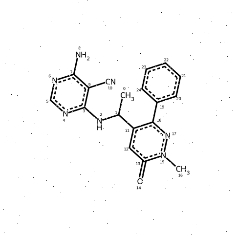 CC(Nc1ncnc(N)c1C#N)c1cc(=O)n(C)nc1-c1ccccc1